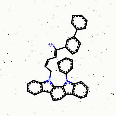 N/C(=C\C=C/Cn1c2ccccc2c2ccc3c4ccccc4n(-c4ccccc4)c3c21)c1cccc(-c2ccccc2)c1